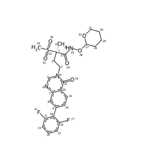 C[C@@](CCn1cnc2cc(-c3c(F)cccc3F)ccc2c1=O)(C(=O)NOC1CCCCO1)S(C)(=O)=O